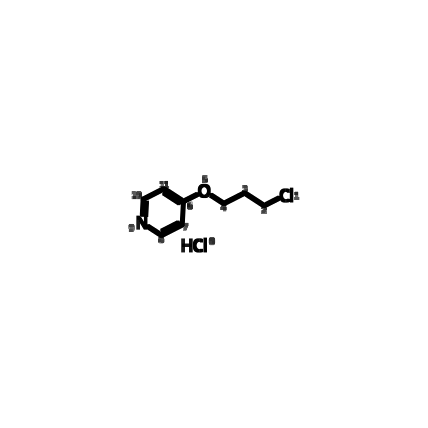 Cl.ClCCCOc1ccncc1